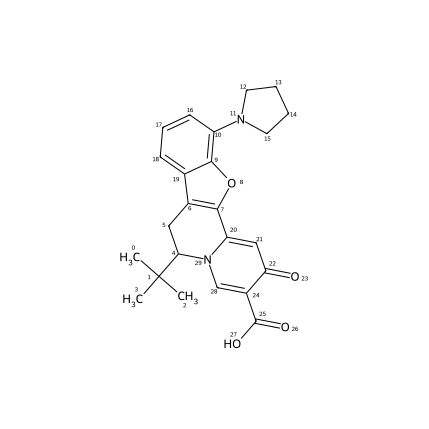 CC(C)(C)C1Cc2c(oc3c(N4CCCC4)cccc23)-c2cc(=O)c(C(=O)O)cn21